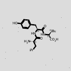 CC[C@H](C)[C@H](NC(=O)[C@H](Cc1ccc(O)cc1)NC(=O)[C@@H](N)CC(C)C)C(=O)O